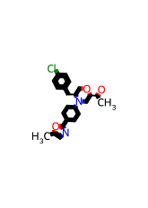 CC(=O)[C@H]1CN(C2CCC(c3ncc(C)o3)CC2)[C@@H](Cc2ccc(Cl)cc2)CO1